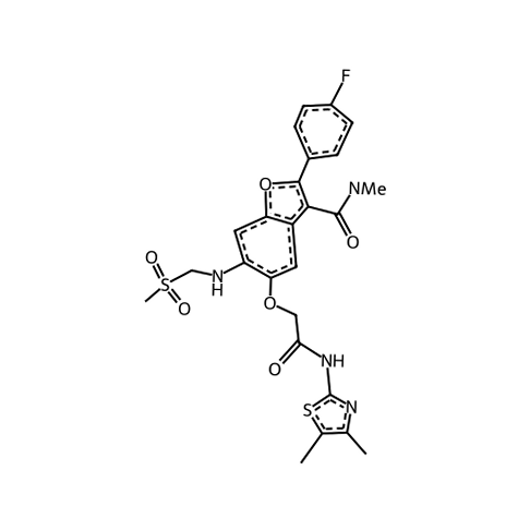 CNC(=O)c1c(-c2ccc(F)cc2)oc2cc(NCS(C)(=O)=O)c(OCC(=O)Nc3nc(C)c(C)s3)cc12